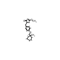 COC1=NC(=O)C(Cc2ccc(OCC3(C)CCCCC3)cc2)S1